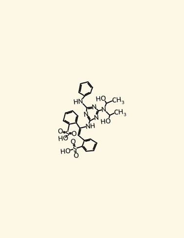 CC(O)N(c1nc(NC(=Cc2ccccc2S(=O)(=O)O)c2ccccc2S(=O)(=O)O)nc(Nc2ccccc2)n1)C(C)O